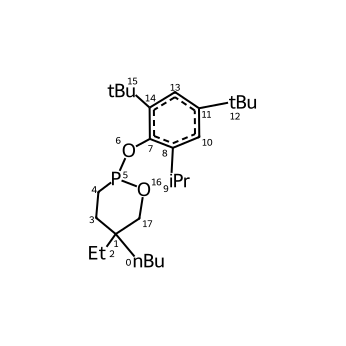 CCCCC1(CC)CCP(Oc2c(C(C)C)cc(C(C)(C)C)cc2C(C)(C)C)OC1